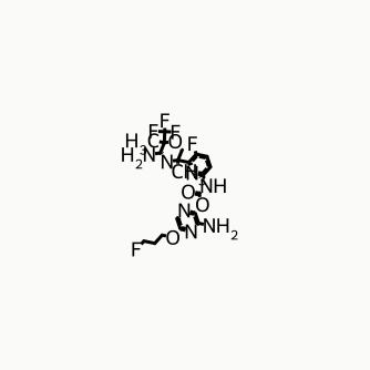 CC1(c2nc(NC(=O)Oc3ncc(OCCCF)nc3N)ccc2F)COC(C)(C(F)(F)F)C(N)=N1